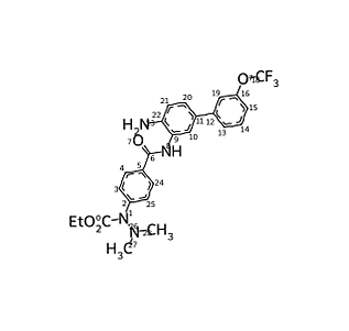 CCOC(=O)N(c1ccc(C(=O)Nc2cc(-c3cccc(OC(F)(F)F)c3)ccc2N)cc1)N(C)C